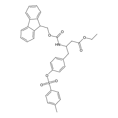 CCOC(=O)CC(Cc1ccc(OS(=O)(=O)c2ccc(C)cc2)cc1)NC(=O)OCC1c2ccccc2-c2ccccc21